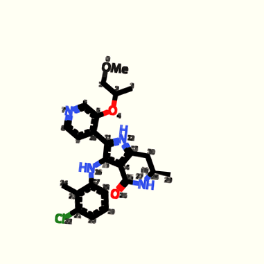 COCC(C)Oc1cnccc1-c1[nH]c2c(c1Nc1cccc(Cl)c1C)C(=O)N[C@H](C)C2